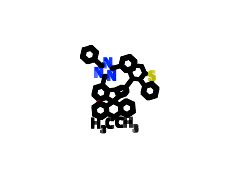 CC1(C)c2ccccc2C2(c3ccc(C4CCCC5Sc6ccccc6C54)cc3-c3c(-c4nc(-c5ccccc5)nc(-c5ccccc5)n4)cccc32)c2ccccc21